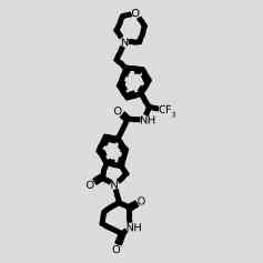 O=C1CCC(N2Cc3cc(C(=O)NC(c4ccc(CN5CCOCC5)cc4)C(F)(F)F)ccc3C2=O)C(=O)N1